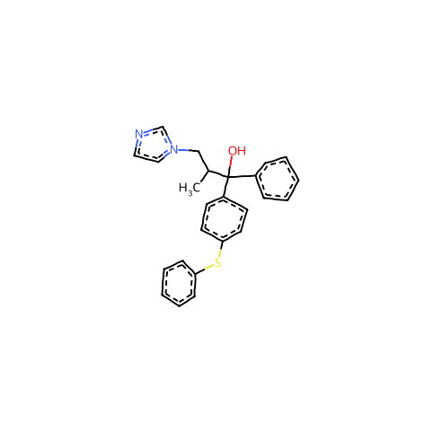 CC(Cn1ccnc1)C(O)(c1ccccc1)c1ccc(Sc2ccccc2)cc1